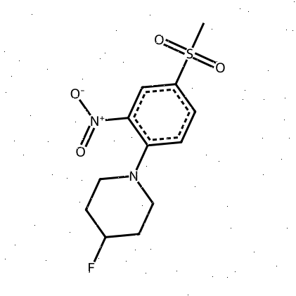 CS(=O)(=O)c1ccc(N2CCC(F)CC2)c([N+](=O)[O-])c1